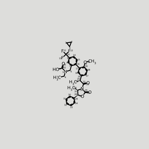 C1CC1.CCN(Cc1cc(C(F)(F)F)ccc1-c1cc([C@H](C)C(=O)N2C(=O)O[C@@H](c3ccccc3)[C@H]2C)ccc1OC)C(=O)O